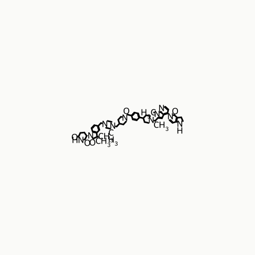 C[C@H]1CN(Cc2ccc3c(c2)C(C)(C)C(=O)N3[C@H]2CCC(=O)NC2=O)CCN1CC1CCN(C(=O)c2ccc(C3CCN([C@@H](C)c4cc5c(-n6ccc7c(c6=O)CCN7)ccnc5n4C)CC3)cc2)CC1